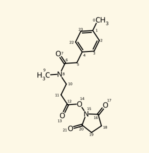 Cc1ccc(CC(=O)N(C)CCC(=O)ON2C(=O)CCC2=O)cc1